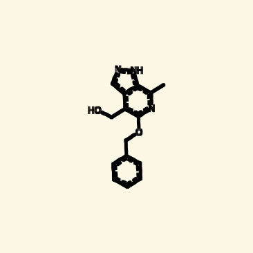 Cc1nc(OCc2ccccc2)c(CO)c2cn[nH]c12